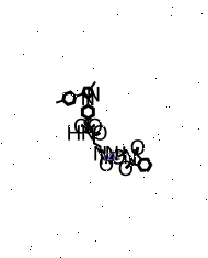 Cc1ccc(-c2cc(C)nn2-c2ccc(S(=O)(=O)NC(=O)CCN(C)/[N+]([O-])=N/OC(C)N3C(=O)c4ccccc4C3=O)cc2)cc1